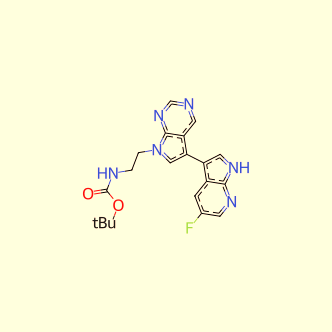 CC(C)(C)OC(=O)NCCn1cc(-c2c[nH]c3ncc(F)cc23)c2cncnc21